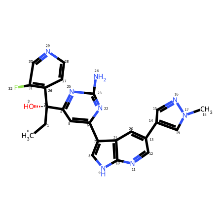 CC[C@](O)(c1cc(-c2c[nH]c3ncc(-c4cnn(C)c4)cc23)nc(N)n1)c1ccncc1F